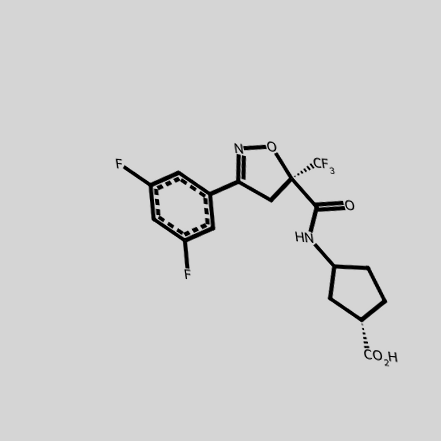 O=C(O)[C@H]1CCC(NC(=O)[C@@]2(C(F)(F)F)CC(c3cc(F)cc(F)c3)=NO2)C1